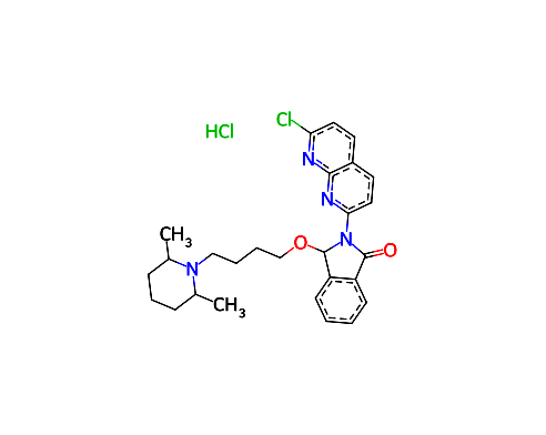 CC1CCCC(C)N1CCCCOC1c2ccccc2C(=O)N1c1ccc2ccc(Cl)nc2n1.Cl